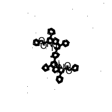 Cc1cc(-c2cc(-c3ccccc3)c3ccc4c(-c5ccccc5)cc(C(=O)Oc5ccccc5)nc4c3n2)ccc1-c1cc(-c2ccccc2)c2ccc3c(-c4ccccc4)cc(C(=O)Oc4ccccc4)nc3c2n1